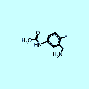 CC(=O)Nc1ccc(F)c(CN)c1